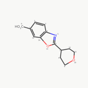 O=C(O)c1ccc2nc(C3CCOCC3)oc2c1